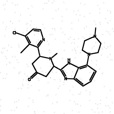 Cc1c(Cl)ccnc1C1CC(=O)CC(c2nc3cccc(N4CCN(C)CC4)c3[nH]2)N1C